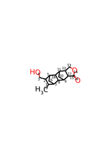 CC1C(CO)C2CC1C1C3CC(C4COC(=O)C43)C21